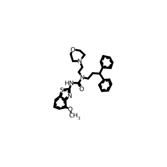 COc1cccc2sc(NC(=O)N(CCC(c3ccccc3)c3ccccc3)CCN3CCOCC3)nc12